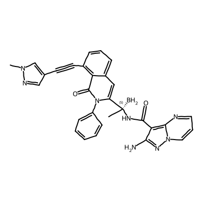 B[C@@](C)(NC(=O)c1c(N)nn2cccnc12)c1cc2cccc(C#Cc3cnn(C)c3)c2c(=O)n1-c1ccccc1